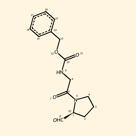 O=C[C@@H]1CCCN1C(=O)CNC(=O)OCc1ccccc1